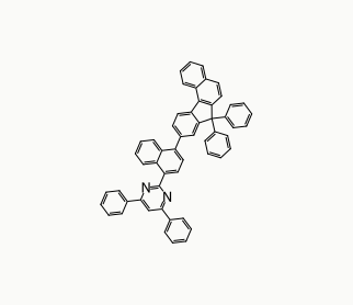 c1ccc(-c2cc(-c3ccccc3)nc(-c3ccc(-c4ccc5c(c4)C(c4ccccc4)(c4ccccc4)c4ccc6ccccc6c4-5)c4ccccc34)n2)cc1